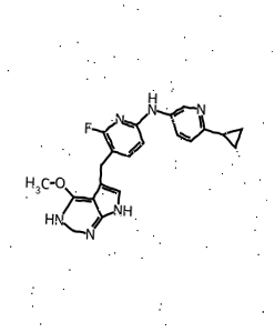 COC1=c2c(Cc3ccc(Nc4ccc(C5CC5)nc4)nc3F)c[nH]c2=NCN1